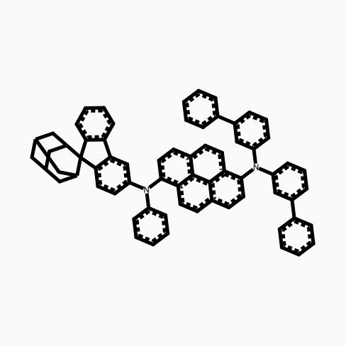 c1ccc(-c2cccc(N(c3cccc(-c4ccccc4)c3)c3ccc4ccc5c(N(c6ccccc6)c6ccc7c(c6)-c6ccccc6C76C7CC8CC(C7)CC6C8)ccc6ccc3c4c65)c2)cc1